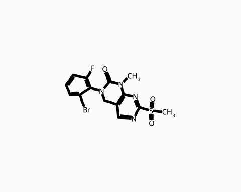 CN1C(=O)N(c2c(F)cccc2Br)Cc2cnc(S(C)(=O)=O)nc21